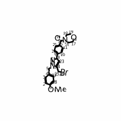 COc1ccc(Cn2nc(-c3ccc(C(=O)N4CCOCC4)cc3)cc2CBr)cc1